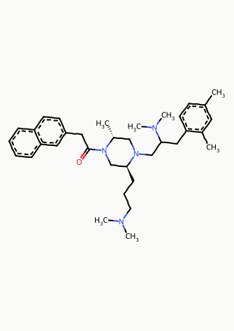 Cc1ccc(CC(CN2C[C@@H](C)N(C(=O)Cc3ccc4ccccc4c3)C[C@@H]2CCCN(C)C)N(C)C)c(C)c1